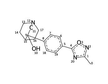 Cc1noc(-c2ccc(C3(O)CN4CCC3CC4)cc2)n1